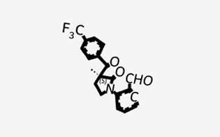 C[C@@]1(C(=O)c2ccc(C(F)(F)F)cc2)CCN(c2ccccc2C=O)C1=O